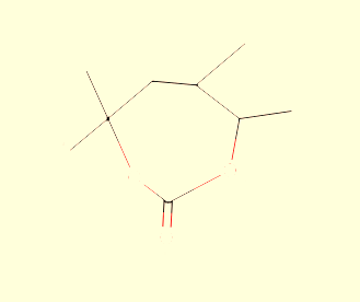 CC1CC(C)(C)OC(=O)OC1C